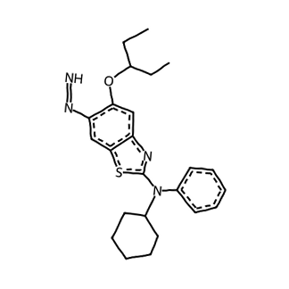 CCC(CC)Oc1cc2nc(N(c3ccccc3)C3CCCCC3)sc2cc1N=N